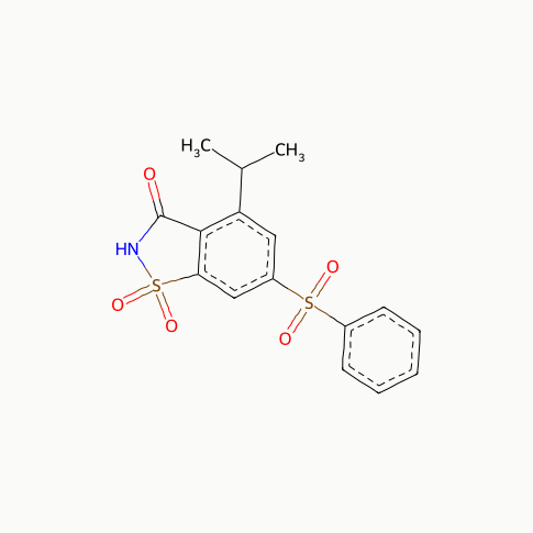 CC(C)c1cc(S(=O)(=O)c2ccccc2)cc2c1C(=O)NS2(=O)=O